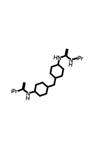 C=C(NC(C)C)NC1CCC(CC2CCC(NC(=C)C(C)C)CC2)CC1